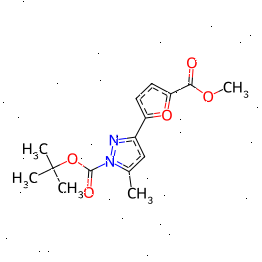 COC(=O)c1ccc(-c2cc(C)n(C(=O)OC(C)(C)C)n2)o1